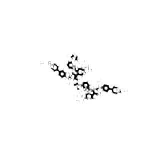 C[C@H]1COC(=O)N1c1cccc(N2c3nc(Nc4ccc(C5CCN(C)CC5)cc4)nc(C[C@H]4COC(=O)N4c4cccc(N5c6nc(Nc7ccc(C8CCN(C)CC8)cc7)ncc6[C@@]6(C)COC(C)(C)C[C@@H]56)n4)c3[C@]3(C)COC(C)(C)C[C@H]23)n1